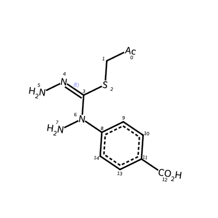 CC(=O)CS/C(=N/N)N(N)c1ccc(C(=O)O)cc1